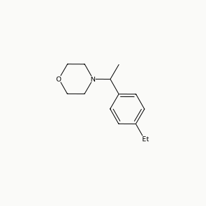 CCc1ccc(C(C)N2CCOCC2)cc1